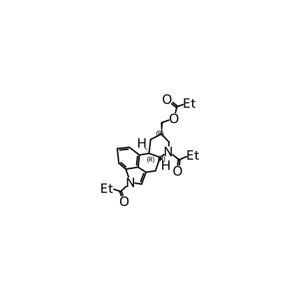 CCC(=O)OC[C@@H]1C[C@@H]2c3cccc4c3c(cn4C(=O)CC)C[C@H]2N(C(=O)CC)C1